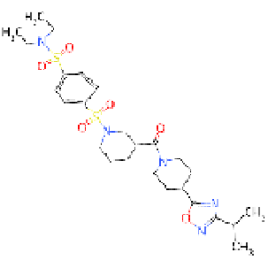 CCN(CC)S(=O)(=O)c1ccc(S(=O)(=O)N2CCCC(C(=O)N3CCC(c4nc(C(C)C)no4)CC3)C2)cc1